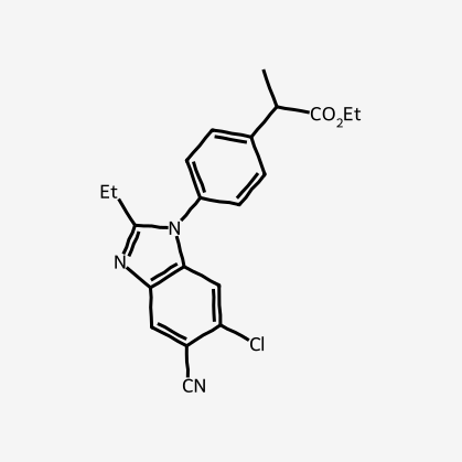 CCOC(=O)C(C)c1ccc(-n2c(CC)nc3cc(C#N)c(Cl)cc32)cc1